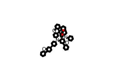 c1ccc(N(c2ccccc2)c2cc(N(c3ccc(-c4ccc5c(c4)oc4ccccc45)cc3)c3ccc4c(c3)C3(c5ccccc5O4)c4ccccc4-c4ccccc43)cc3c2oc2ccccc23)cc1